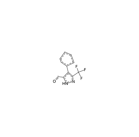 O=[C]c1[nH]nc(C(F)(F)F)c1-c1ccccc1